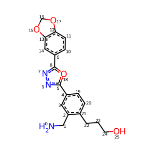 NCc1cc(-c2nnc(-c3ccc4c(c3)OCO4)o2)ccc1CCCO